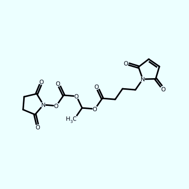 CC(OC(=O)CCCN1C(=O)C=CC1=O)OC(=O)ON1C(=O)CCC1=O